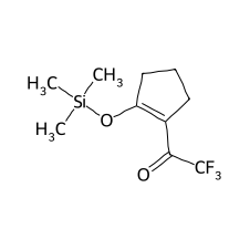 C[Si](C)(C)OC1=C(C(=O)C(F)(F)F)CCC1